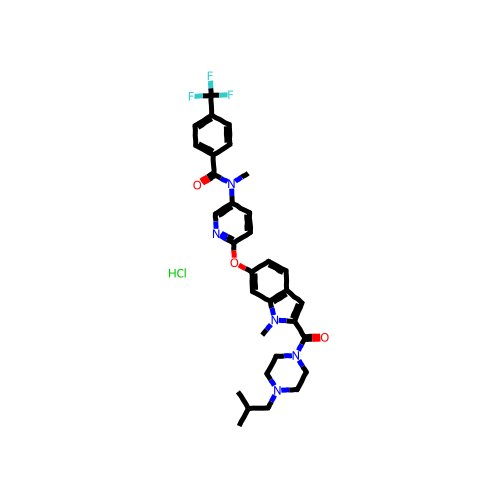 CC(C)CN1CCN(C(=O)c2cc3ccc(Oc4ccc(N(C)C(=O)c5ccc(C(F)(F)F)cc5)cn4)cc3n2C)CC1.Cl